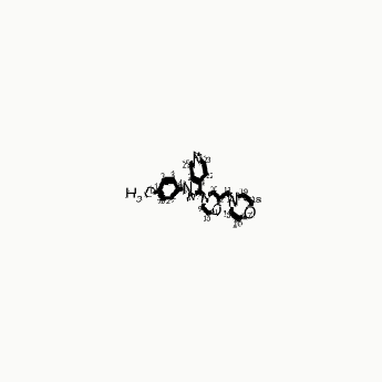 Cc1ccc(-n2nc(N3CCOC(CN4CCOCC4)C3)c3ccncc32)cc1